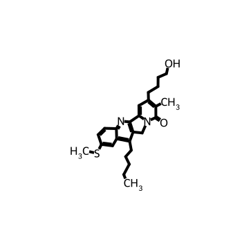 CCCCCc1c2c(nc3ccc(SC)cc13)-c1cc(CCCCO)c(C)c(=O)n1C2